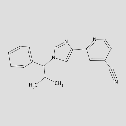 CC(C)C(c1ccccc1)n1cnc(-c2cc(C#N)ccn2)c1